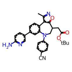 Cc1noc2c1-c1ccc(-c3ccc(N)nc3)cc1N(c1ccc(C#N)cc1)CC2CC(=O)OC(C)(C)C